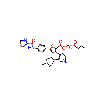 CCCC(=O)OCOC(=O)c1sc(-c2ccc(NC(=O)c3cscn3)cc2)cc1C1=C(C2CCC(C)CC2)CN(C)CC1